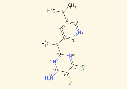 CC(C)c1cncc(C(C)C2=NC(N)C(=S)C(Cl)=N2)c1